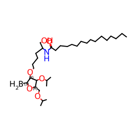 B[C@@H]1O[C@H](COC(C)C)C(OC(C)C)[C@@H]1OCCCCC(CO)NC(=O)CCCCCCCCCCCCCCC